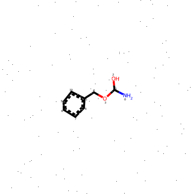 NC(O)OCc1ccccc1